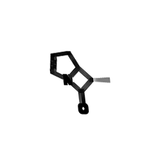 C[C@@H]1C(=O)N2C=CCC12